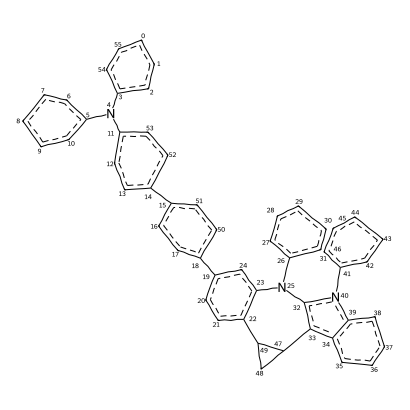 c1ccc(N(c2ccccc2)c2ccc(-c3ccc(-c4ccc5c(c4)N(c4ccccc4)c4c(c6ccccc6n4-c4ccccc4)C4CC54)cc3)cc2)cc1